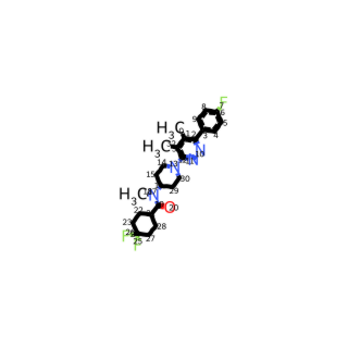 Cc1c(-c2ccc(F)cc2)nnc(N2CCC(N(C)C(=O)C3CCC(F)(F)CC3)CC2)c1C